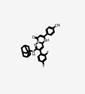 N#Cc1ccc(C2=CC(=O)N3N=C(NC45CC6CC(CC(C6)C4)C5)C(c4ccc(F)cc4F)=CC3N2)cc1